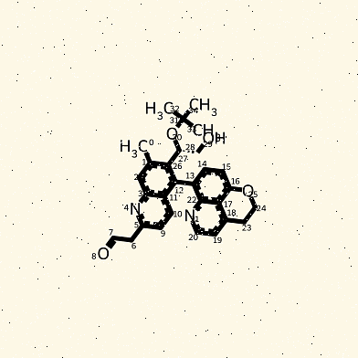 Cc1cc2nc(CC=O)ccc2c(-c2ccc3c4c(ccnc24)CCO3)c1[C@@H](CO)OC(C)(C)C